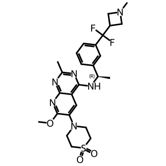 COc1nc2nc(C)nc(N[C@H](C)c3cccc(C(F)(F)C4CN(C)C4)c3)c2cc1N1CCS(=O)(=O)CC1